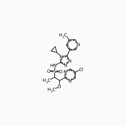 COC(c1ncc(Cl)cn1)C(C)S(=O)(=O)Nc1nnc(-c2cncc(C)c2)n1C1CC1